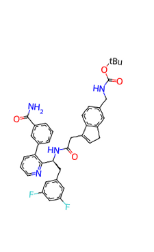 CC(C)(C)OC(=O)NCc1ccc2c(c1)CC=C2CC(=O)N[C@@H](Cc1cc(F)cc(F)c1)c1ncccc1-c1cccc(C(N)=O)c1